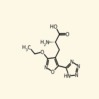 CCOc1noc(-c2nnn[nH]2)c1C[C@H](N)C(=O)O